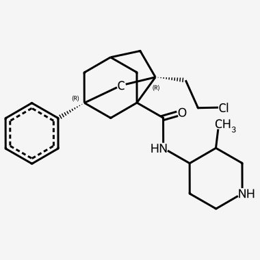 CC1CNCCC1NC(=O)C12CC3C[C@](c4ccccc4)(C1)C[C@@]2(CCCl)C3